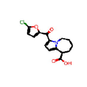 O=C(c1ccc(Cl)o1)c1ccc2n1CCCCC2C(=O)O